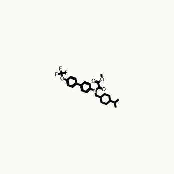 COC(=O)C(=O)N(CC1CCC(C(C)C)CC1)c1ccc(-c2ccc(OC(F)(F)F)cc2)cc1